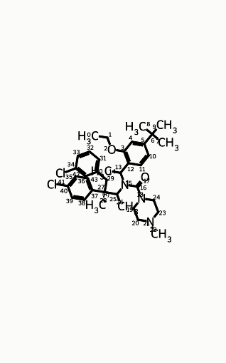 CCOc1cc(C(C)(C)C)ccc1C(C)N(C(=O)N1CCN(C)CC1)C(C)[C@](C)(Cc1cccc(Cl)c1)c1ccc(Cl)cc1